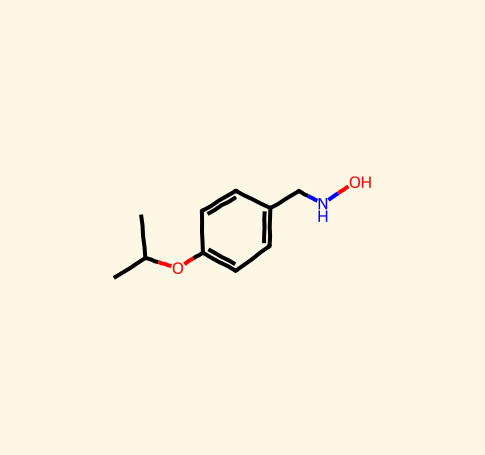 CC(C)Oc1ccc(CNO)cc1